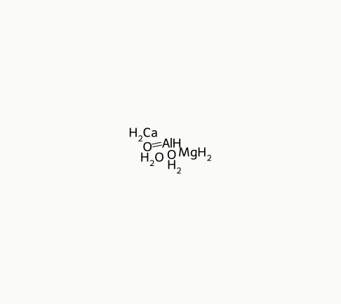 O.O.[CaH2].[MgH2].[O]=[AlH]